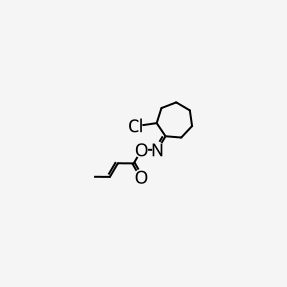 C/C=C/C(=O)ON=C1CCCCCC1Cl